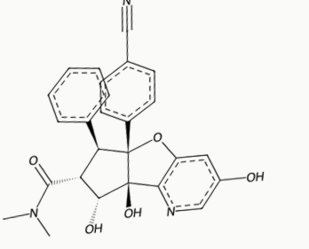 CN(C)C(=O)[C@H]1[C@@H](O)[C@@]2(O)c3ncc(O)cc3O[C@@]2(c2ccc(C#N)cc2)[C@@H]1c1ccccc1